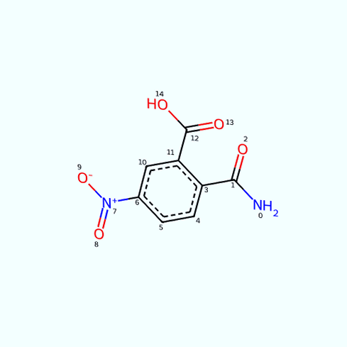 NC(=O)c1ccc([N+](=O)[O-])cc1C(=O)O